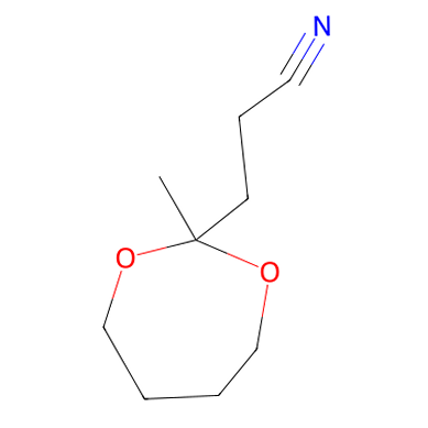 CC1(CCC#N)OCCCCO1